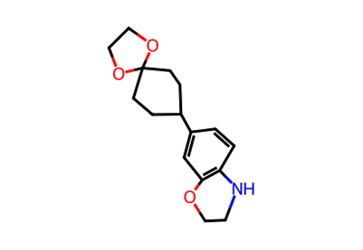 c1cc2c(cc1C1CCC3(CC1)OCCO3)OCCN2